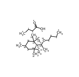 CCCC(=O)O.CCCCOC(C)N1C(C)(C)CC(C)CC1(C)C